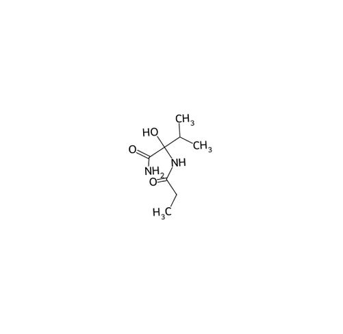 CCC(=O)NC(O)(C(N)=O)C(C)C